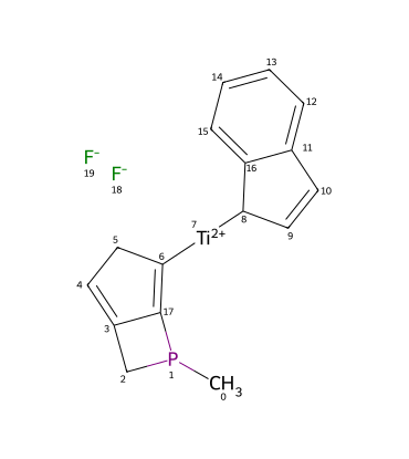 CP1CC2=CC[C]([Ti+2][CH]3C=Cc4ccccc43)=C21.[F-].[F-]